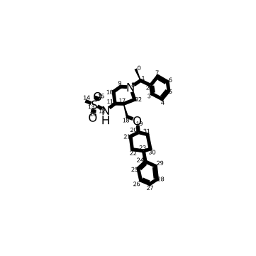 C[C@@H](c1ccccc1)N1CCC(NS(C)(=O)=O)[C@H](COC2CCC(c3ccccc3)CC2)C1